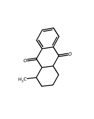 CC1CCCC2C(=O)c3ccccc3C(=O)C12